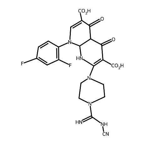 N#CNC(=N)N1CCN(C2=C(C(=O)O)C(=O)C3C(=O)C(C(=O)O)=CN(c4ccc(F)cc4F)C3N2)CC1